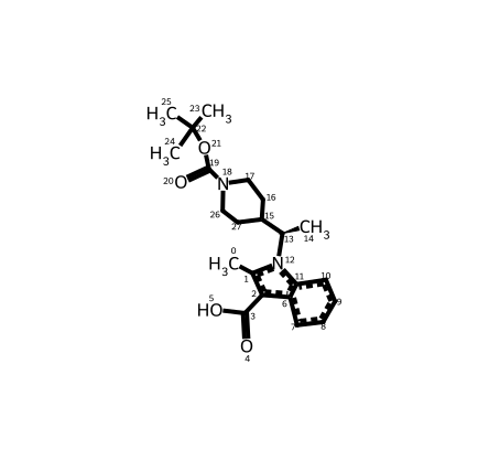 Cc1c(C(=O)O)c2ccccc2n1[C@H](C)C1CCN(C(=O)OC(C)(C)C)CC1